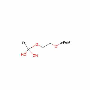 C[CH]C(O)(O)OCCOCCCCC